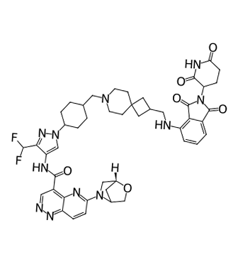 O=C1CCC(N2C(=O)c3cccc(NCC4CC5(CCN(CC6CCC(n7cc(NC(=O)c8cnnc9ccc(N%10C[C@H]%11CC%10CO%11)nc89)c(C(F)F)n7)CC6)CC5)C4)c3C2=O)C(=O)N1